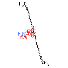 CCCCCCCCCCCCCCCCCCCC(=O)O[C@H](COC(=O)CCCCCCCCCCCCCCCCC)COP(=O)(O)OC[C@H](N)C(=O)O